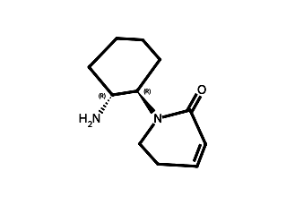 N[C@@H]1CCCC[C@H]1N1CCC=CC1=O